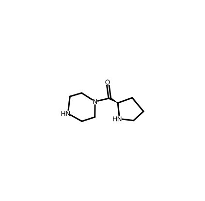 O=C([C@H]1CCCN1)N1CCNCC1